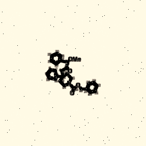 CON(C(=O)CC1(c2ccccc2)CCN(C(=O)OCc2ccccc2)CC1)c1ccccc1